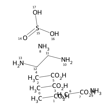 CC(=O)O.CC(=O)O.CC(=O)O.CC(=O)O.N.N.NCCN.O=S(O)O